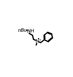 CCCCNCCC[N+](C)(C)Cc1ccccc1